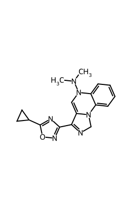 CN(C)N1C=C2C(c3noc(C4CC4)n3)=NCN2c2ccccc21